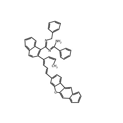 C\C=C/C(=C\C=C\c1ccc2c(c1)oc1cc3ccccc3cc12)c1ccc2ccccc2c1C(/N=C(\N)c1ccccc1)=N/Cc1ccccc1